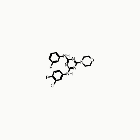 Fc1cccc(Nc2nc(Nc3ccc(F)c(Cl)c3)nc(N3CCOCC3)n2)c1